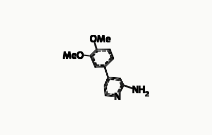 COc1ccc(-c2ccnc(N)c2)cc1OC